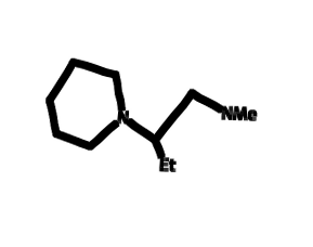 CCC(CNC)N1CCCCC1